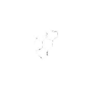 CC(C)(C(=O)O)C1c2ccccc2Cc2ccccc21